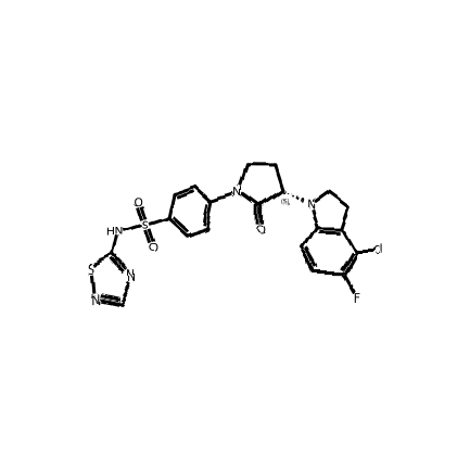 O=C1[C@@H](N2CCc3c2ccc(F)c3Cl)CCN1c1ccc(S(=O)(=O)Nc2ncns2)cc1